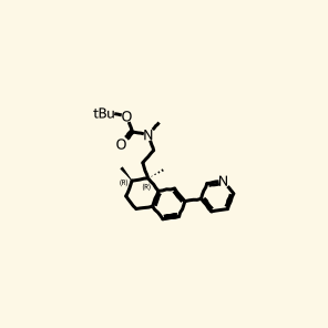 C[C@@H]1CCc2ccc(-c3cccnc3)cc2[C@]1(C)CCN(C)C(=O)OC(C)(C)C